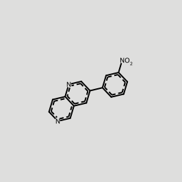 O=[N+]([O-])c1cccc(-c2cnc3ccncc3c2)c1